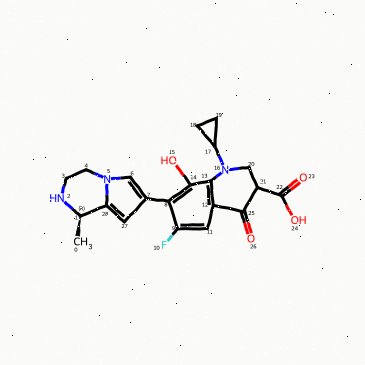 C[C@H]1NCCn2cc(-c3c(F)cc4c(c3O)N(C3CC3)CC(C(=O)O)C4=O)cc21